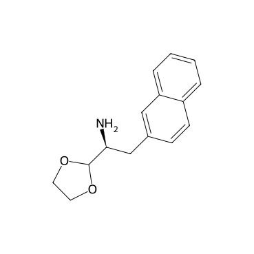 N[C@@H](Cc1ccc2ccccc2c1)C1OCCO1